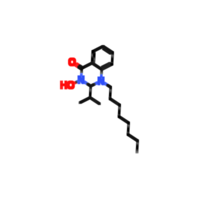 CCCCCCCCN1c2ccccc2C(=O)N(O)C1C(C)C